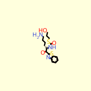 NCCCC[C@H](NC(=O)SCCCO)C(=O)c1nc2ccccc2s1